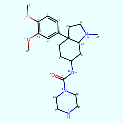 COc1ccc(C23CCC(NC(=O)N4CCNCC4)CC2N(C)CC3)cc1OC